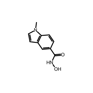 Cn1ccc2cc(C(=O)NO)ccc21